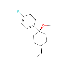 CC[C@H]1CC[C@](OC)(c2ccc(F)cc2)CC1